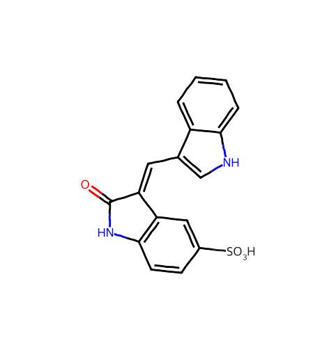 O=C1Nc2ccc(S(=O)(=O)O)cc2C1=Cc1c[nH]c2ccccc12